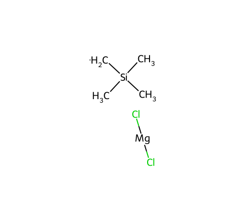 [CH2][Si](C)(C)C.[Cl][Mg][Cl]